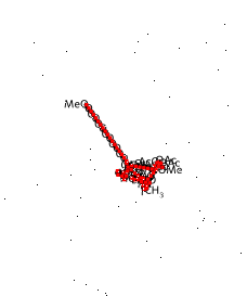 CC[C@@]1(O)C(=O)OCc2c1cc1n(c2=O)Cc2c-1nc1cc(F)c(C)c3c1c2[C@@H](NC(=O)OCc1ccc(O[C@@H]2O[C@H](C(=O)OC)[C@@H](OC(C)=O)[C@H](OC(C)=O)[C@H]2OC(C)=O)c(CNC(=O)CCNC(=O)COC2(CNC(=O)OCC4c5ccccc5-c5ccccc54)CN(C(=O)CCOCCOCCOCCOCCOCCOCCOCCOCCOCCOCCOCCOC)C2)c1)CC3